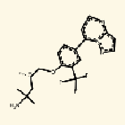 C[C@H](COc1ccc(-c2ccnc3ccnn23)cc1C(F)(F)F)CC(C)(C)N